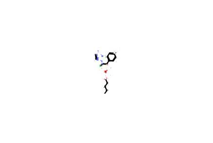 CCCCCOC(=O)OC(c1ccc(Cl)cc1)C(Cl)n1ccnc1